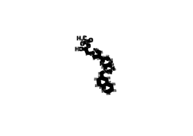 CS(=O)(=O)OC(O)Cn1cc(-c2cnc3nnn(Cc4ccc5ncccc5c4)c3n2)cn1